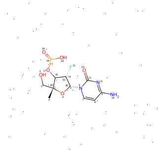 C[C@]1(CO)O[C@@H](n2ccc(N)nc2=O)[C@@H](F)C1O[PH](=O)O